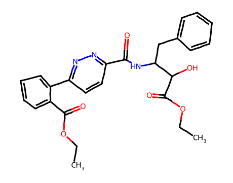 CCOC(=O)c1ccccc1-c1ccc(C(=O)NC(Cc2ccccc2)C(O)C(=O)OCC)nn1